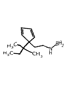 BNCCC1(C(C)(C)CC)C=CC=C1